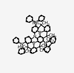 CC1(C)c2cccc3c2B2c4c(ccc(N(c5ccccc5)c5ccccc5)c41)N1c4ccc(N(c5ccccc5)c5ccccc5)c5c4B4c6c(cccc6C(C)(C)c6c4c1c2c(c6-n1c2ccccc2c2ccccc21)C3(C)C)C5(C)C